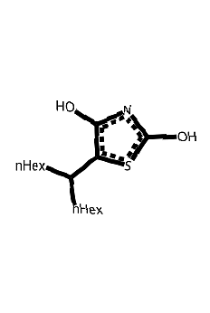 CCCCCCC(CCCCCC)c1sc(O)nc1O